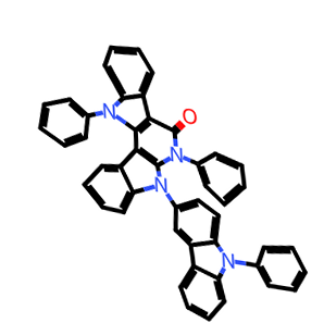 O=c1c2c3ccccc3n(-c3ccccc3)c2c2c3ccccc3n(-c3ccc4c(c3)c3ccccc3n4-c3ccccc3)c2n1-c1ccccc1